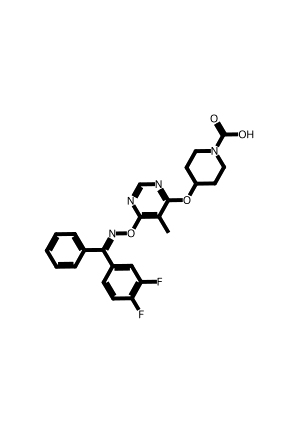 Cc1c(ON=C(c2ccccc2)c2ccc(F)c(F)c2)ncnc1OC1CCN(C(=O)O)CC1